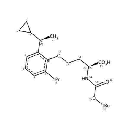 CC(C)c1cccc([C@H](C)C2CC2)c1OCC[C@H](NC(=O)OC(C)(C)C)C(=O)O